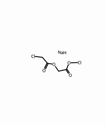 O=C(COC(=O)CCl)OCl.[NaH]